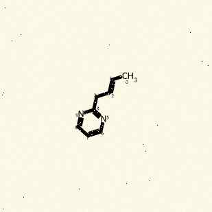 CC=C[CH]c1ncccn1